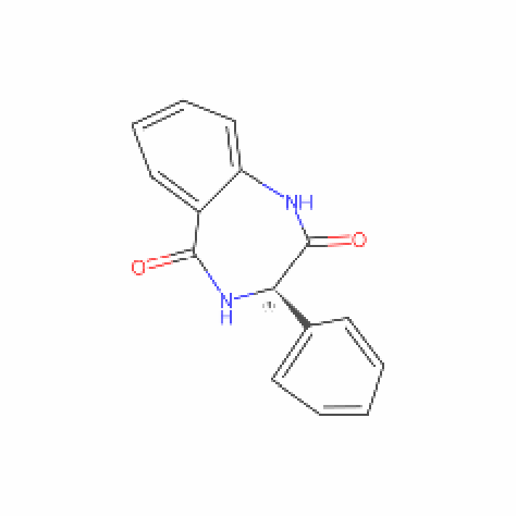 O=C1N[C@H](c2ccccc2)C(=O)Nc2ccccc21